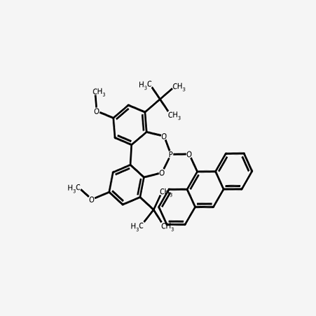 COc1cc(C(C)(C)C)c2op(Oc3c4ccccc4cc4ccccc34)oc3c(C(C)(C)C)cc(OC)cc3c2c1